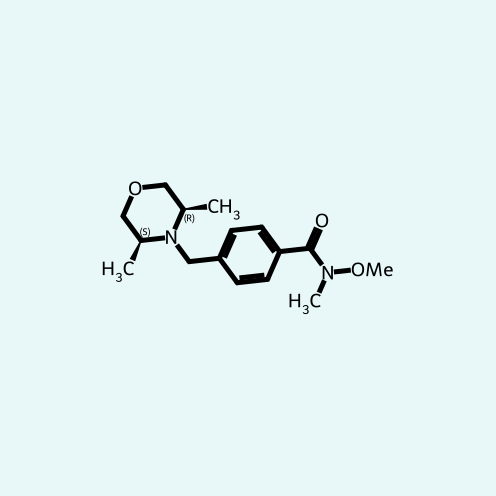 CON(C)C(=O)c1ccc(CN2[C@H](C)COC[C@@H]2C)cc1